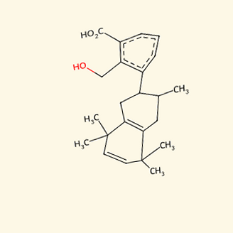 CC1CC2=C(CC1c1cccc(C(=O)O)c1CO)C(C)(C)C=CC2(C)C